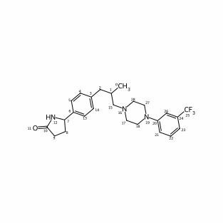 CC(Cc1ccc(C2CCC(=O)N2)cc1)CN1CCN(c2cccc(C(F)(F)F)c2)CC1